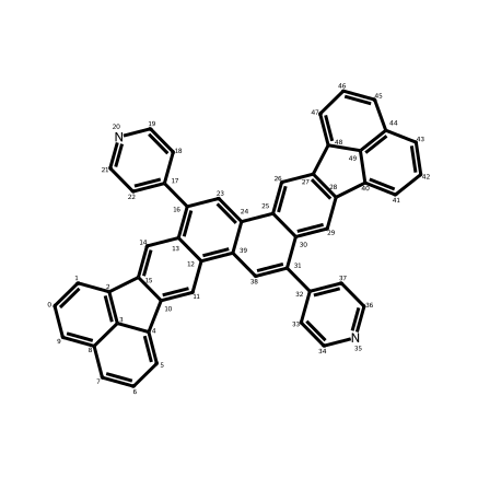 c1cc2c3c(cccc3c1)-c1cc3c(cc1-2)c(-c1ccncc1)cc1c2cc4c(cc2c(-c2ccncc2)cc31)-c1cccc2cccc-4c12